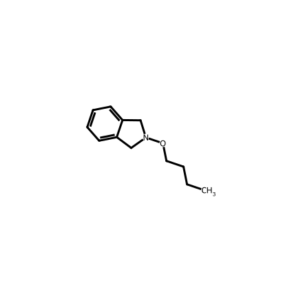 CCCCON1Cc2ccccc2C1